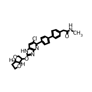 CNC(=O)Cc1ccc(-c2ccc(-c3nc4nc(OC5CO[C@@H]6CCO[C@H]56)[nH]c4cc3Cl)cc2)cc1